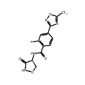 O=C(NC1CONC1=O)c1ccc(-c2noc(C(F)(F)F)n2)cc1F